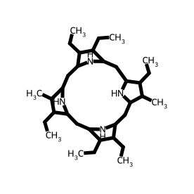 CCC1C2CC3NC(CC4NC(CC5NC(CC(N2)C1C)C(CC)C5CC)C(CC)C4C)C(CC)C3CC